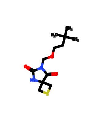 C[Si](C)(C)CCOCN1C(=O)NC2(CSC2)C1=O